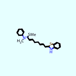 CSC(/C=C/CC/C=C/C=C1/Nc2ccccc2S1)=[N+](/C)C1C=CC=CC1